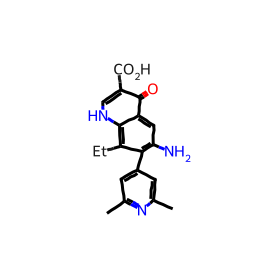 CCc1c(-c2cc(C)nc(C)c2)c(N)cc2c(=O)c(C(=O)O)c[nH]c12